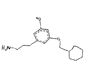 NCCCc1cc(O)cc(OCC2CCCCC2)c1